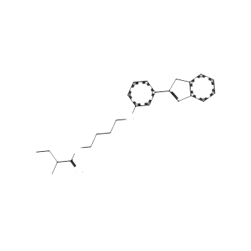 CCC(C)C(=O)OCCCCOc1cccc(C2=Cc3ccccc3C2)c1